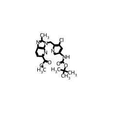 COC(=O)c1ccc2nc(C)n(Cc3ncc(NC(=O)OC(C)(C)C)cc3Cl)c2n1